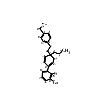 CCCC1(CCc2ccc(CC)cc2)C=CC(c2cccc(F)c2F)=CC1